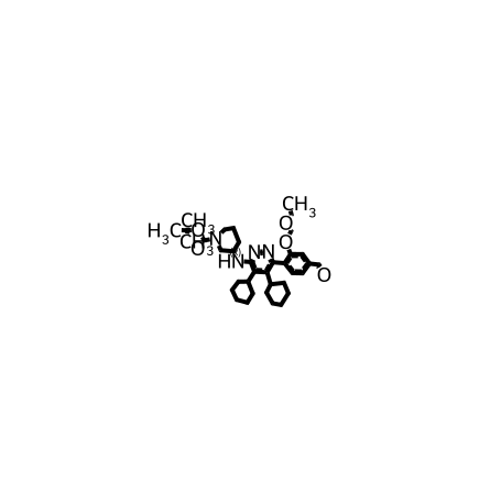 CCOCOc1cc(C=O)ccc1-c1nnc(N[C@@H]2CCCN(C(=O)OC(C)(C)C)C2)c(C2CCCCC2)c1C1CCCCC1